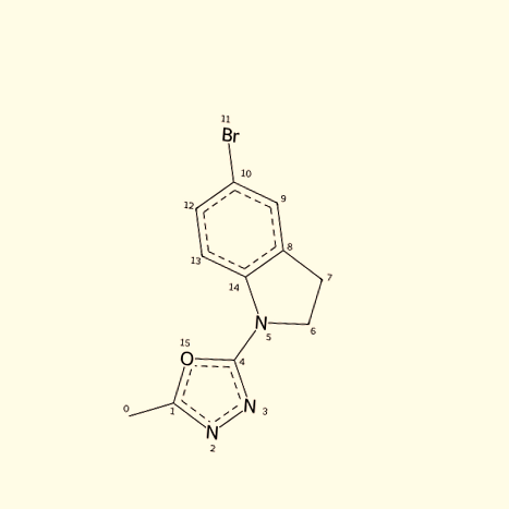 Cc1nnc(N2CCc3cc(Br)ccc32)o1